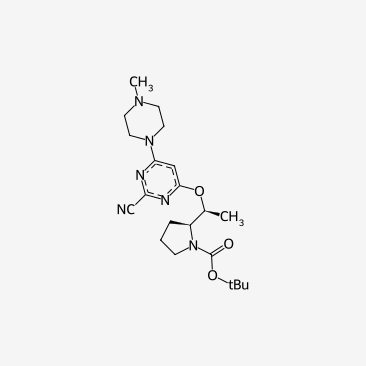 C[C@H](Oc1cc(N2CCN(C)CC2)nc(C#N)n1)[C@@H]1CCCN1C(=O)OC(C)(C)C